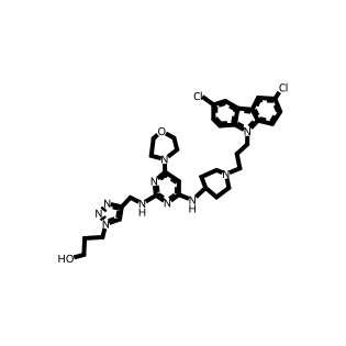 OCCCn1cc(CNc2nc(NC3CCN(CCCn4c5ccc(Cl)cc5c5cc(Cl)ccc54)CC3)cc(N3CCOCC3)n2)nn1